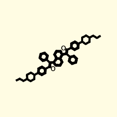 CCCC1CCC(c2ccc(-c3oc4ccc5c(ccc6oc(-c7ccc(C8CCC(CCC)CC8)cc7)c(-c7ccccc7)c65)c4c3-c3ccccc3)cc2)CC1